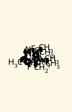 C=CC(=O)Nc1cc(N(F)c2nccc(-c3cn(C)c4cc(F)c(F)cc34)n2)c(OC(C)C)nc1N(C)CCN(C)C